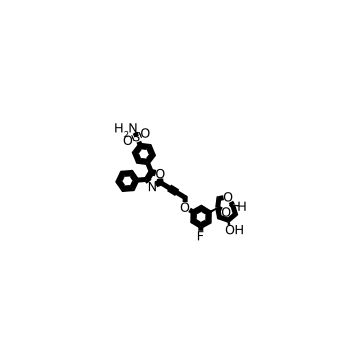 NS(=O)(=O)c1ccc(-c2oc(C#CCOc3cc(F)cc([C@]45CO[C@@H](C[C@@H](O)C4)O5)c3)nc2-c2ccccc2)cc1